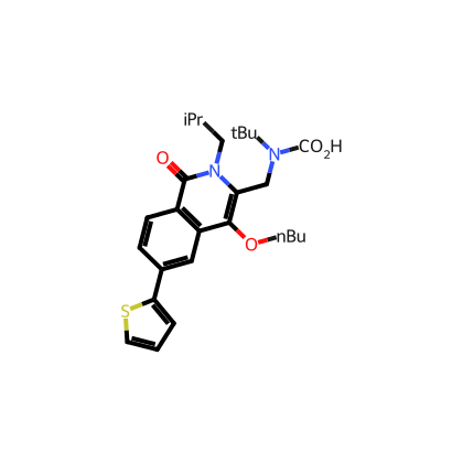 CCCCOc1c(CN(C(=O)O)C(C)(C)C)n(CC(C)C)c(=O)c2ccc(-c3cccs3)cc12